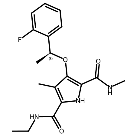 CCNC(=O)c1[nH]c(C(=O)NC)c(O[C@@H](C)c2ccccc2F)c1C